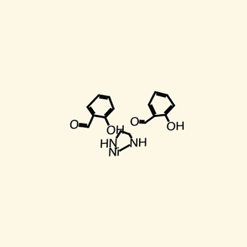 C1C[NH][Ni][NH]1.O=Cc1ccccc1O.O=Cc1ccccc1O